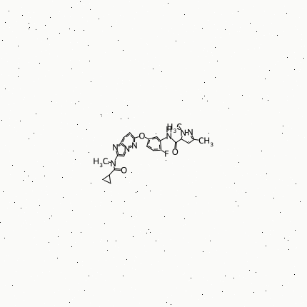 CC1=NN(C)C(C(=O)Nc2cc(Oc3ccc4nc(N(C)C(=O)C5CC5)cn4n3)ccc2F)C1